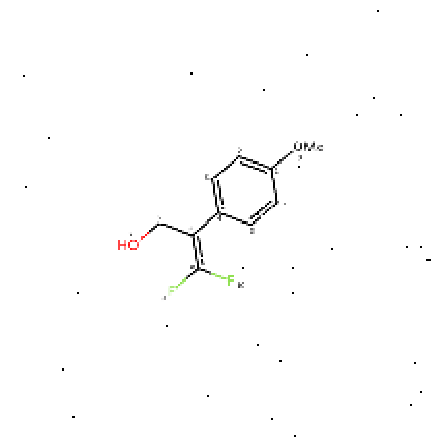 COc1ccc(C(CO)=C(F)F)cc1